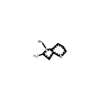 Cc1cc2ncccc2n1C(C)(C)C